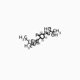 CCCC[Si](C)(C)OC1CC(c2ccc(NOC(=O)C(C)O)cc2F)C1